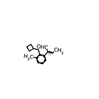 C/C=C(\C=O)c1cccc(C)c1CC1CCC1